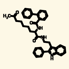 CC(=O)CCCCCC(NC(=O)c1ccccc1-c1ccccc1)C(=O)NCCc1c(-c2ccccc2)[nH]c2ccccc12